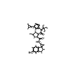 CC1CC(C(=O)NC2CC23CCc2cc(Br)ccc23)N(C(=O)C(n2cc(C3CC3)nn2)C(C)(C)C)C1